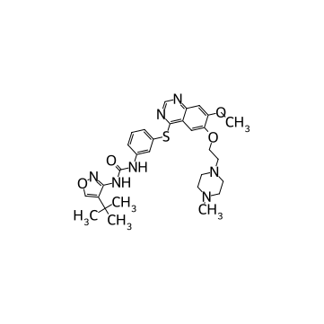 COc1cc2ncnc(Sc3cccc(NC(=O)Nc4nocc4C(C)(C)C)c3)c2cc1OCCN1CCN(C)CC1